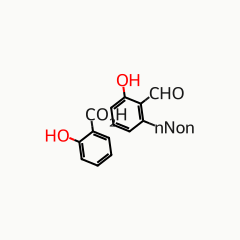 CCCCCCCCCc1cccc(O)c1C=O.O=C(O)c1ccccc1O